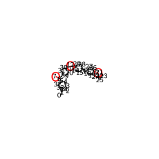 CC1Cc2cc(C(=O)c3ccc(Oc4ccc(-c5ccc(OC(C)(C)C)cc5)cc4)cc3)cc1c2